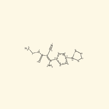 CCOC(=O)/C(C#N)=C(\N)c1ccc(N2CCCC2)cc1